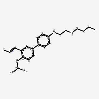 C/C=C/c1cc(-c2ccc(OCCOCCCC)cc2)ccc1OC(F)F